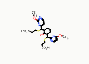 O=C1C(C(SCCS(=O)(=O)O)c2ccnc(OC(F)(F)F)n2)CCCC1C(SCCS(=O)(=O)O)c1nccc(OC(F)(F)F)n1